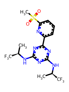 C[C@@H](Nc1nc(N[C@H](C)C(F)(F)F)nc(-c2cccc(S(C)(=O)=O)n2)n1)C(F)(F)F